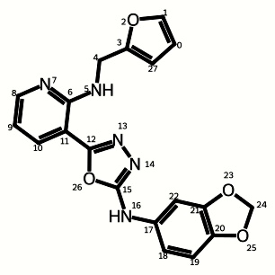 c1coc(CNc2ncccc2-c2nnc(Nc3ccc4c(c3)OCO4)o2)c1